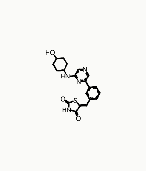 O=C1NC(=O)C(=Cc2cccc(-c3cncc(NC4CCC(O)CC4)n3)c2)S1